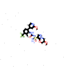 COc1cc(-c2ccc(C(F)(F)F)c(C)c2NC(=O)N=S(N)(=O)c2cnn3c2OCC(OC)C3)ccn1